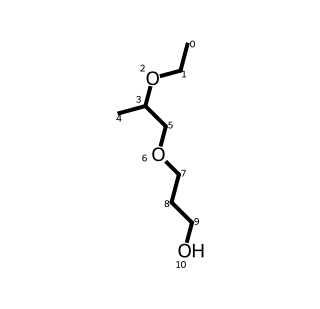 CCOC(C)COCCCO